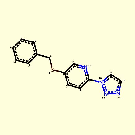 c1ccc(CSc2ccc(-n3ccnn3)nc2)cc1